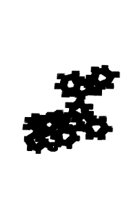 c1ccc2c(c1)Oc1ccc(-n3c4ccccc4c4cc(-n5c6ccccc6n6c7ccccc7nc56)ccc43)cc1C21c2ccccc2-c2ccccc21